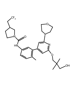 Cc1ccc(NC(=O)N2CCC(CC(F)(F)F)C2)cc1-c1cc(OCC(C)(C)CO)nc(N2CCOCC2)c1